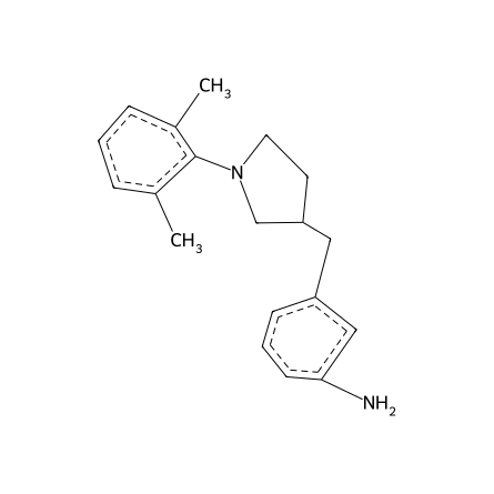 Cc1cccc(C)c1N1CCC(Cc2cccc(N)c2)C1